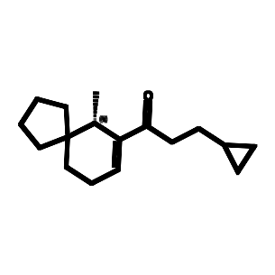 C[C@@H]1C(C(=O)CCC2CC2)=CCCC12CCCC2